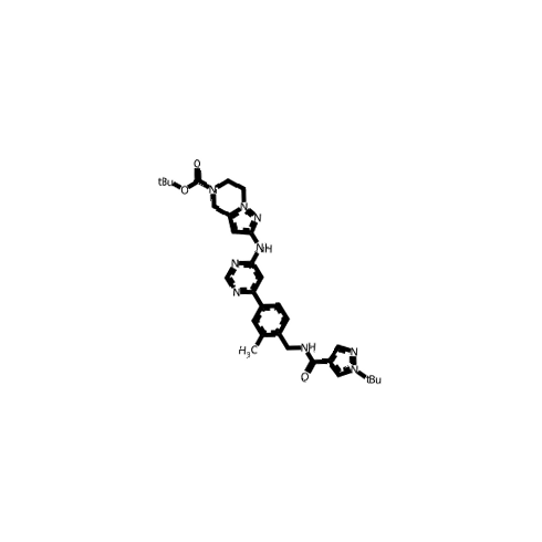 Cc1cc(-c2cc(Nc3cc4n(n3)CCN(C(=O)OC(C)(C)C)C4)ncn2)ccc1CNC(=O)c1cnn(C(C)(C)C)c1